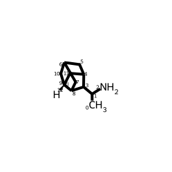 CC(N)C1C2CC3CC1[C@H](C3)C2